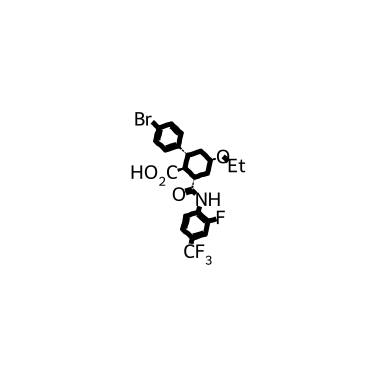 CCO[C@@H]1C[C@H](C(=O)Nc2ccc(C(F)(F)F)cc2F)[C@@H](C(=O)O)[C@H](c2ccc(Br)cc2)C1